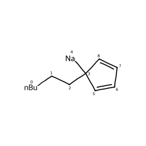 CCCCCC[C]1([Na])C=CC=C1